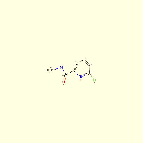 CNC(=O)c1cccc(Cl)n1